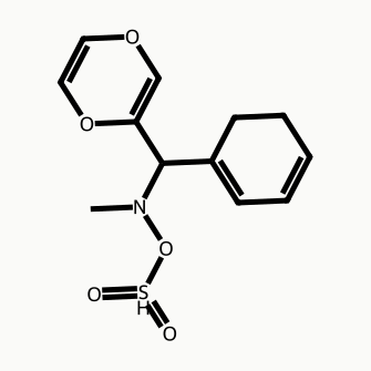 CN(O[SH](=O)=O)C(C1=CC=CCC1)C1=COC=CO1